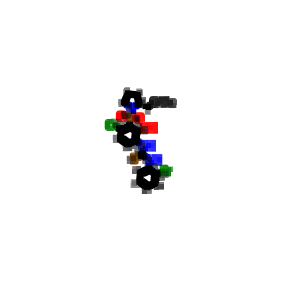 COC[C@H]1CCCN1S(=O)(=O)c1c(Cl)ccc(NC(=S)Nc2ccccc2Br)c1O